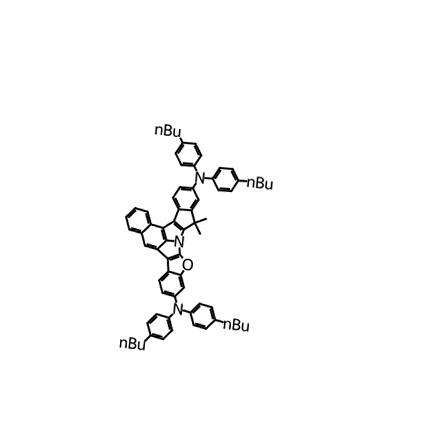 CCCCc1ccc(N(c2ccc(CCCC)cc2)c2ccc3c(c2)C(C)(C)c2c-3c3c4ccccc4cc4c5c6ccc(N(c7ccc(CCCC)cc7)c7ccc(CCCC)cc7)cc6oc5n2c43)cc1